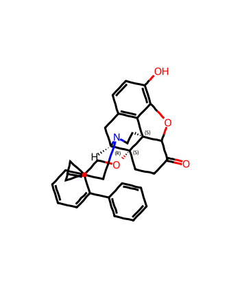 O=C1CC[C@@]2(OCc3ccccc3-c3ccccc3)[C@H]3Cc4ccc(O)c5c4[C@@]2(CCN3CC2CC2)C1O5